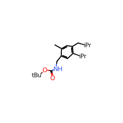 Cc1cc(CC(C)C)c(C(C)C)cc1CNC(=O)OC(C)(C)C